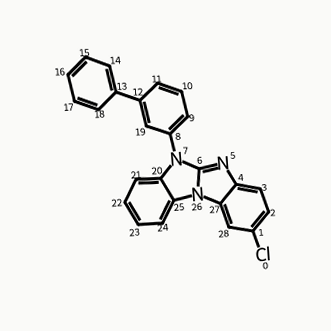 Clc1ccc2nc3n(-c4cccc(-c5ccccc5)c4)c4ccccc4n3c2c1